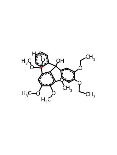 CCOc1ccc(C(O)(c2ccccc2)c2c(C(OC)OC)cc(OC)c(OC)c2OC)cc1OCC